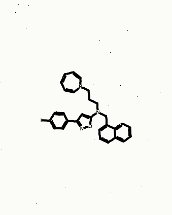 Ic1ccc(-c2cc(N(CCCN3C=CC=CC=C3)Cc3cccc4ccccc34)on2)cc1